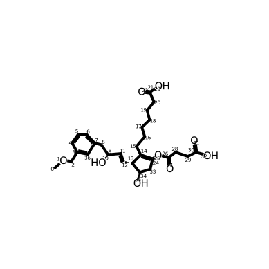 COCc1cccc(C[C@@H](O)/C=C/[C@@H]2C(CCCCCCC(=O)O)=C(OC(=O)CCC(=O)O)C[C@H]2O)c1